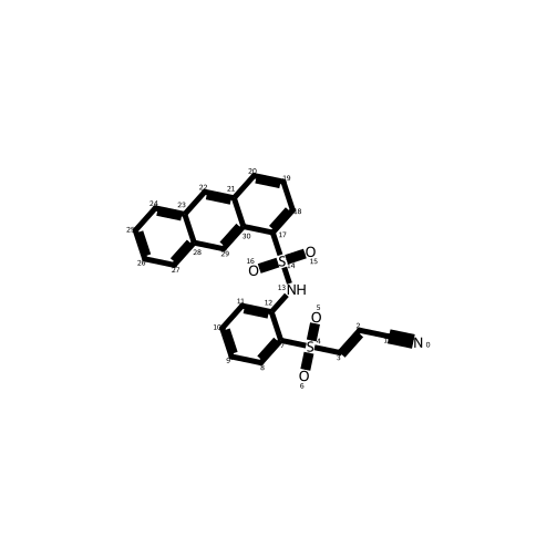 N#CC=CS(=O)(=O)c1ccccc1NS(=O)(=O)c1cccc2cc3ccccc3cc12